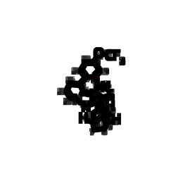 Cc1cc(N2C[C@H]3CC[C@@H](C2)C3Nc2nc3c(-c4ccc(OC(F)(F)F)cc4)cccn3n2)sn1